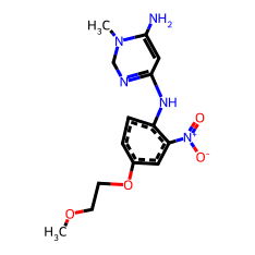 COCCOc1ccc(NC2=NCN(C)C(N)=C2)c([N+](=O)[O-])c1